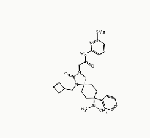 CSc1cccc(NC(=O)CN2C[C@]3(CC[C@@](c4ccccc4)(N(C)C)CC3)N(CC3CCC3)C2=O)n1